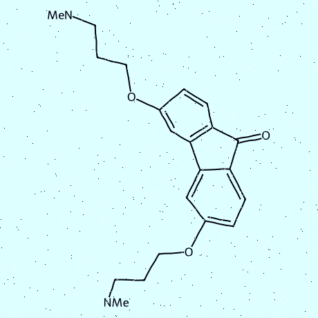 CNCCCOc1ccc2c(c1)-c1cc(OCCCNC)ccc1C2=O